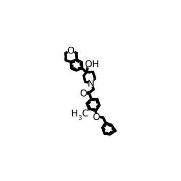 Cc1cc(C(=O)CN2CCC(O)(c3ccc4c(c3)COCC4)CC2)ccc1OCc1ccccc1